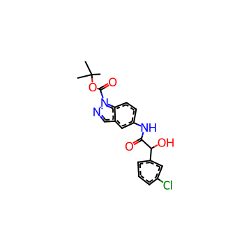 CC(C)(C)OC(=O)n1ncc2cc(NC(=O)C(O)c3cccc(Cl)c3)ccc21